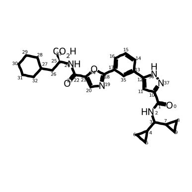 O=C(NC(C1CC1)C1CC1)c1cc(-c2cccc(-c3ncc(C(=O)N[C@@H](CC4CCCCC4)C(=O)O)o3)c2)[nH]n1